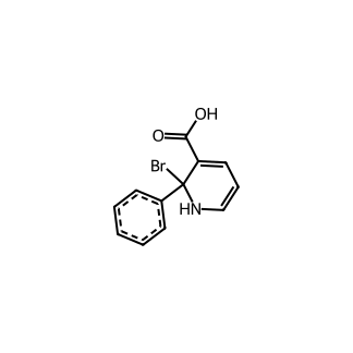 O=C(O)C1=CC=CNC1(Br)c1ccccc1